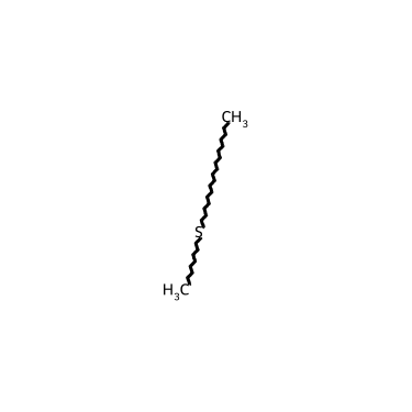 CCCCCCCCCCCCCCCCCCCCSCCCCCCCCCC